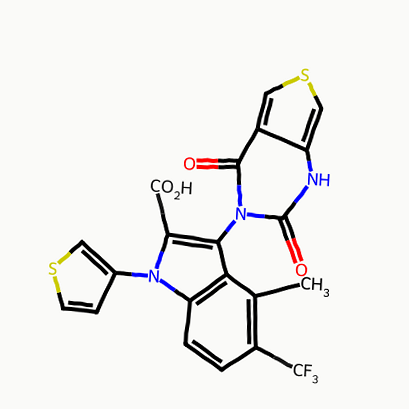 Cc1c(C(F)(F)F)ccc2c1c(-n1c(=O)[nH]c3cscc3c1=O)c(C(=O)O)n2-c1ccsc1